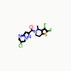 CC1c2c(sc(F)c2F)CCN1C(=O)c1cc2ncc(Cl)cn2n1